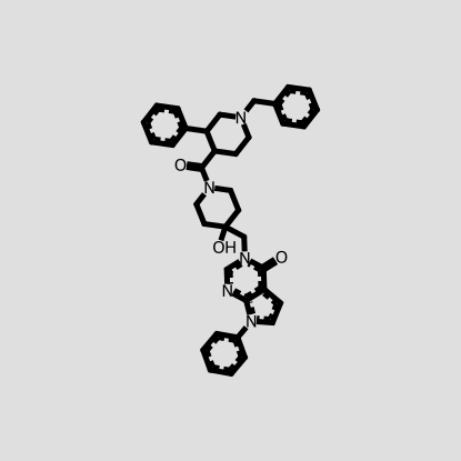 O=C(C1CCN(Cc2ccccc2)CC1c1ccccc1)N1CCC(O)(Cn2cnc3c(ccn3-c3ccccc3)c2=O)CC1